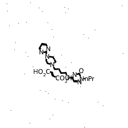 CCCn1ncc(OCCCCN2CCN(c3ncccn3)CC2)nc1=O.O=C(O)C=CC(=O)O